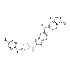 CSc1cnc(N[C@H]2CC[C@H](Nc3nc4ccc(C(=O)N5CCN6C(=O)OC[C@@H]6C5)cc4s3)C2)nc1